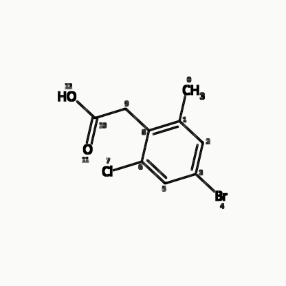 Cc1cc(Br)cc(Cl)c1CC(=O)O